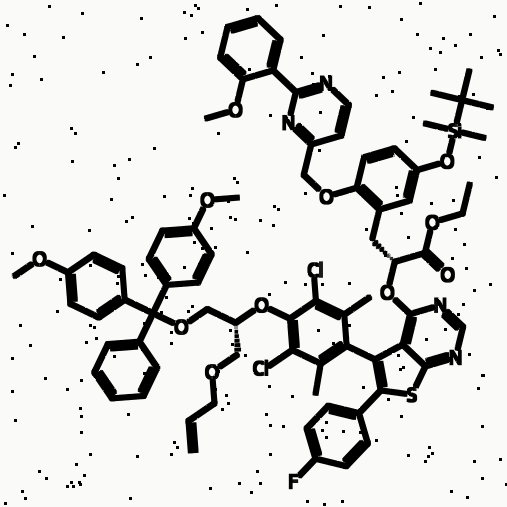 C=CCOC[C@H](COC(c1ccccc1)(c1ccc(OC)cc1)c1ccc(OC)cc1)Oc1c(Cl)c(C)c(-c2c(-c3ccc(F)cc3)sc3ncnc(O[C@H](Cc4cc(O[Si](C)(C)C(C)(C)C)ccc4OCc4ccnc(-c5ccccc5OC)n4)C(=O)OCC)c23)c(C)c1Cl